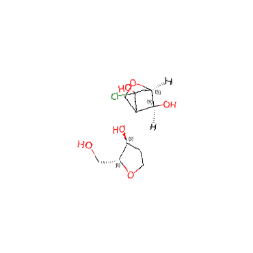 OC[C@H]1OCC[C@@H]1O.O[C@H]1C2CO[C@@H]1C2(O)Cl